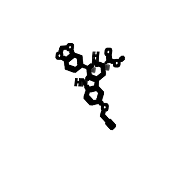 C#CCOc1ccc2[nH]c3c(c2c1)C[C@@H](C(=O)OC)N[C@@H]3c1ccc2c(c1)OCO2